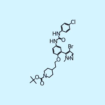 Cn1ncc(Br)c1-c1cc(NC(=O)Nc2ccc(Cl)cc2)ccc1OCCC1CCN(C(=O)OC(C)(C)C)CC1